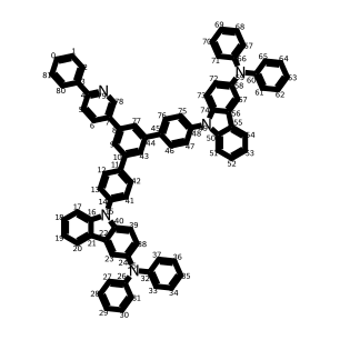 c1ccc(-c2ccc(-c3cc(-c4ccc(-n5c6ccccc6c6cc(N(c7ccccc7)c7ccccc7)ccc65)cc4)cc(-c4ccc(-n5c6ccccc6c6cc(N(c7ccccc7)c7ccccc7)ccc65)cc4)c3)cn2)cc1